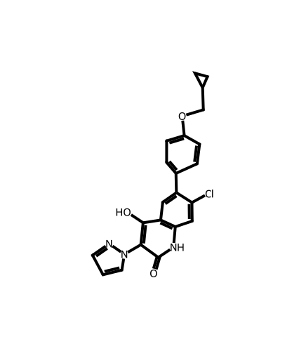 O=c1[nH]c2cc(Cl)c(-c3ccc(OCC4CC4)cc3)cc2c(O)c1-n1cccn1